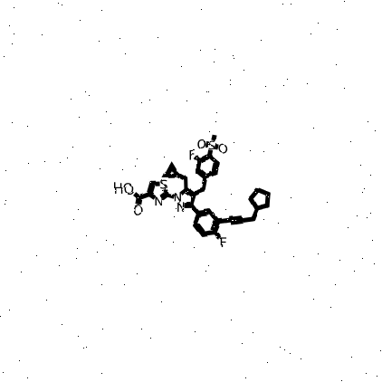 CS(=O)(=O)c1ccc(Cc2c(-c3ccc(F)c(C#CCC4CCCC4)c3)nn(-c3nc(C(=O)O)cs3)c2CC2CC2)cc1F